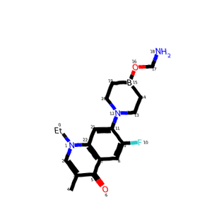 CCn1cc(C)c(=O)c2cc(F)c(N3CCB(OCN)CC3)cc21